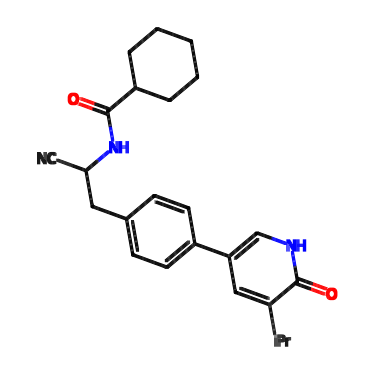 CC(C)c1cc(-c2ccc(CC(C#N)NC(=O)C3CCCCC3)cc2)c[nH]c1=O